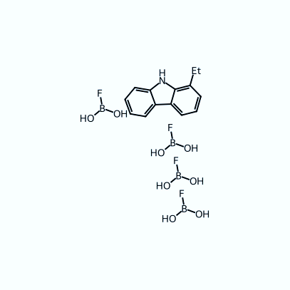 CCc1cccc2c1[nH]c1ccccc12.OB(O)F.OB(O)F.OB(O)F.OB(O)F